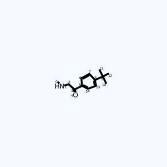 CNCC(=O)c1ccc(C(C)(C)C)cc1